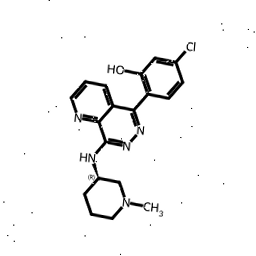 CN1CCC[C@@H](Nc2nnc(-c3ccc(Cl)cc3O)c3cccnc23)C1